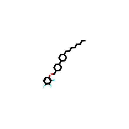 CCCCCCCCC1CCC(C2CCC(COc3ccc(F)c(F)c3F)CC2)CC1